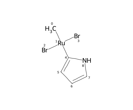 [CH3][Ru]([Br])([Br])[c]1ccc[nH]1